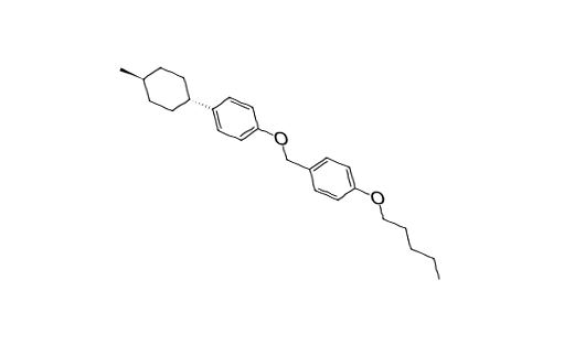 CCCCCOc1ccc(COc2ccc([C@H]3CC[C@H](C)CC3)cc2)cc1